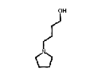 OCCCCN1CCCC1